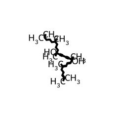 CC(C)=CCCC(C)=CC=CC(C)(O)C#CC#CC(C)(O)CCCC(C)CCCC(C)C